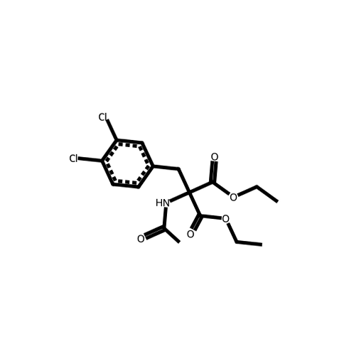 CCOC(=O)C(Cc1ccc(Cl)c(Cl)c1)(NC(C)=O)C(=O)OCC